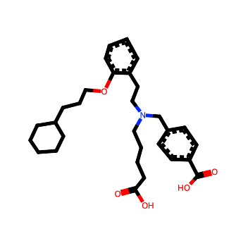 O=C(O)CCCCN(CCc1ccccc1OCCCC1CCCCC1)Cc1ccc(C(=O)O)cc1